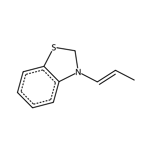 CC=CN1CSc2ccccc21